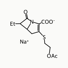 CCC1C(=O)N2C(C(=O)[O-])=C(SCCOC(C)=O)CC12.[Na+]